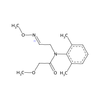 COCC(=O)N(C/C=N/OC)c1c(C)cccc1C